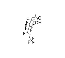 CC(=CC(F)(F)C(F)(F)C(F)(F)C(F)(F)C(F)CCC(F)(F)F)C(=O)O